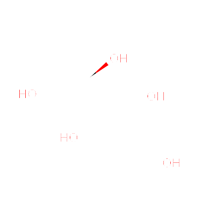 C=C[C@@H](O)[C@@H](O)C(O)C(O)CO